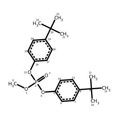 COP(=O)(Oc1ccc(C(C)(C)C)cc1)Oc1ccc(C(C)(C)C)cc1